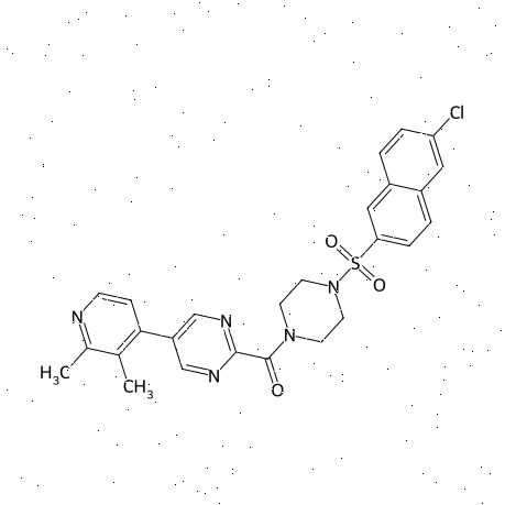 Cc1nccc(-c2cnc(C(=O)N3CCN(S(=O)(=O)c4ccc5cc(Cl)ccc5c4)CC3)nc2)c1C